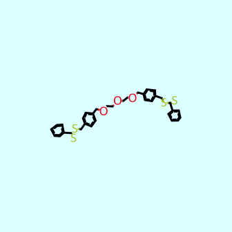 S=C(SCc1ccc(COCCOCCOCc2ccc(CSC(=S)c3ccccc3)cc2)cc1)c1ccccc1